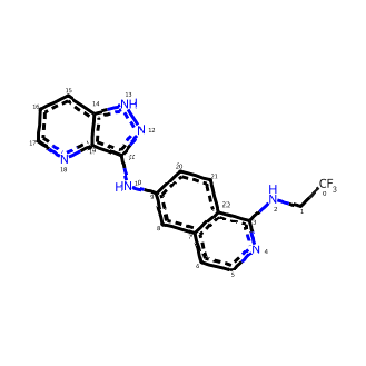 FC(F)(F)CNc1nccc2cc(Nc3n[nH]c4cccnc34)ccc12